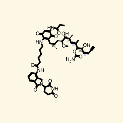 C#C/C=C\[C@H](O)[C@@H](OC(N)=O)/C(C)=C/[C@H](C)[C@H](O)[C@H](C[C@H](C)CC1=C(NCCCCCC(=O)Nc2cccc3c2CN(C2CCC(=O)NC2=O)C3=O)C(=O)C=C(NC(=O)CC)C1=O)OC